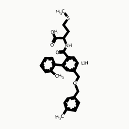 CSCCC(NC(=O)c1ccc(COCc2ccc(C)cc2)cc1-c1ccccc1C)C(=O)O.[LiH]